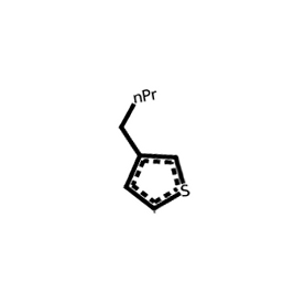 CCCCc1c[c]sc1